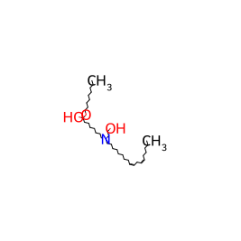 CCCCC/C=C\C/C=C\CCCCCCCCN(CCO)CCCCCCCC(O)OCCCCCCCCC